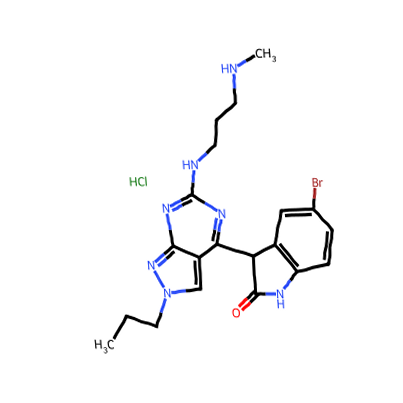 CCCn1cc2c(C3C(=O)Nc4ccc(Br)cc43)nc(NCCCNC)nc2n1.Cl